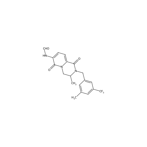 Cc1cc(CN2C(=O)c3ccc(NC=O)c(=O)n3CC2C)cc(C(F)(F)F)c1